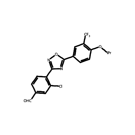 CC(C)Oc1ccc(-c2nc(-c3ccc(C=O)cc3Cl)no2)cc1C(F)(F)F